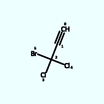 C#CC(Cl)(Cl)Br